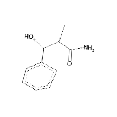 CC(C(N)=O)[C@@H](O)c1ccccc1